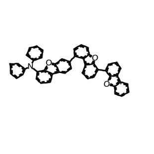 c1ccc(N(c2ccccc2)c2cccc3c2oc2cc(-c4cccc5oc6c(-c7cccc8c7oc7ccccc78)cccc6c45)ccc23)cc1